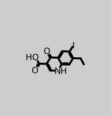 CCc1cc2[nH]cc(C(=O)O)c(=O)c2cc1I